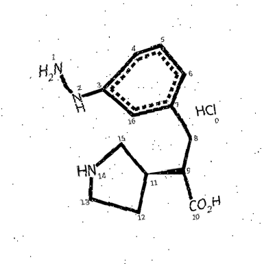 Cl.NNc1cccc(CC(C(=O)O)[C@H]2CCNC2)c1